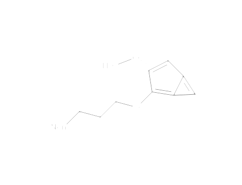 CC(=O)O.CCCCCCCCCCCCOc1ccc2cc1-2